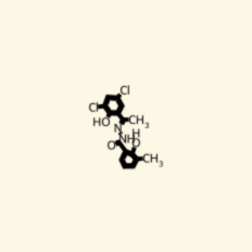 C/C(=N\NC(=O)c1cccc(C)c1O)c1cc(Cl)cc(Cl)c1O